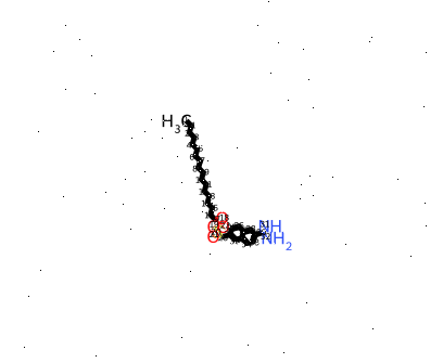 CCCCCCCCCCCCCCCCCC(=O)OS(=O)(=O)Cc1ccc2cc(C(=N)N)ccc2c1